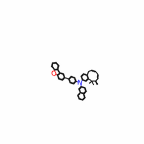 C=C1/C=C\C=C/Cc2ccc(N(c3ccc(-c4ccc5oc6ccccc6c5c4)cc3)c3ccc4ccccc4c3)cc2C1(C)C